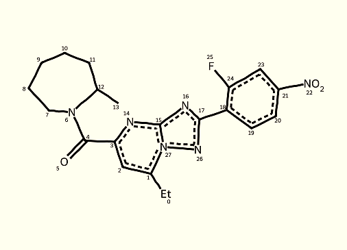 CCc1cc(C(=O)N2CCCCCC2C)nc2nc(-c3ccc([N+](=O)[O-])cc3F)nn12